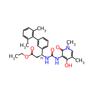 CCOC(=O)C[C@H](NC(=O)Nc1c(O)c(C)cn(C)c1=O)c1cccc(-c2c(C)cccc2C)c1